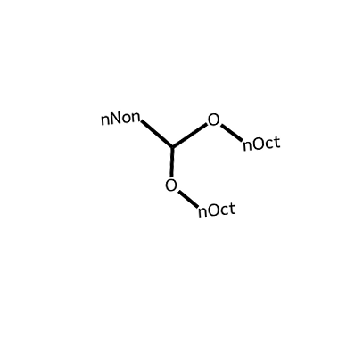 CCCCCCC[CH]CC(OCCCCCCCC)OCCCCCCCC